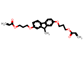 C=CC(=O)OCCCOc1ccc2c(c1)C(C)c1cc(OCCCOC(=O)C=C)ccc1-2